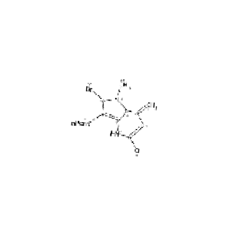 C=C1C=C(Cl)NC2=C(CCCCC)C(Br)N(C)N12